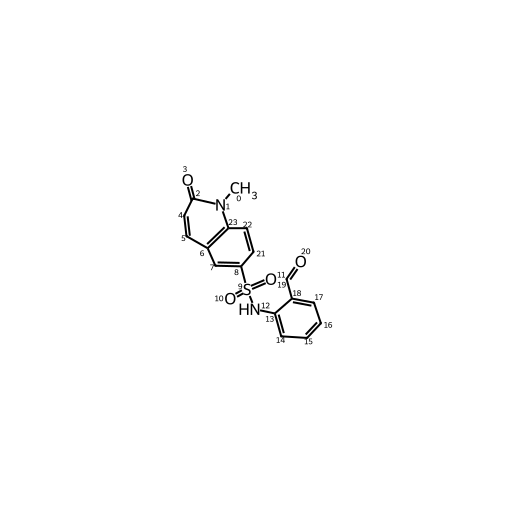 Cn1c(=O)ccc2cc(S(=O)(=O)Nc3ccccc3C=O)ccc21